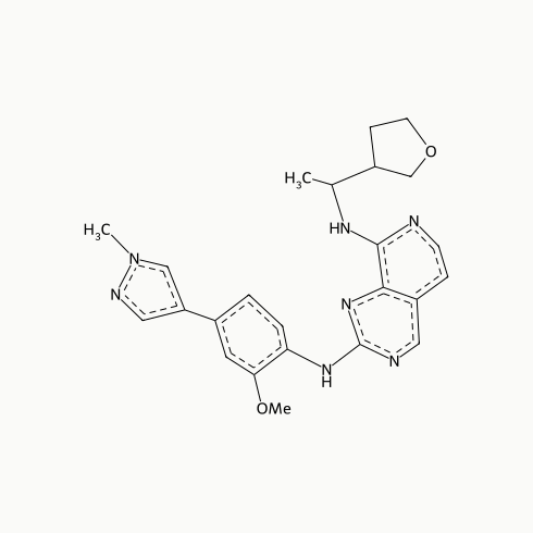 COc1cc(-c2cnn(C)c2)ccc1Nc1ncc2ccnc(NC(C)C3CCOC3)c2n1